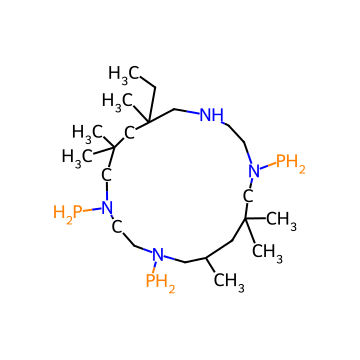 CCC1(C)CNCCN(P)CC(C)(C)CC(C)CN(P)CCN(P)CC(C)(C)C1